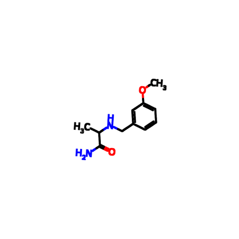 COc1cccc(CNC(C)C(N)=O)c1